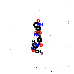 Cc1noc(C)c1CNC(=O)c1ccc(CNS(=O)(=O)c2ccc3c(c2)CCCC(=O)N3)cc1